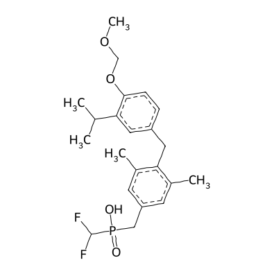 COCOc1ccc(Cc2c(C)cc(CP(=O)(O)C(F)F)cc2C)cc1C(C)C